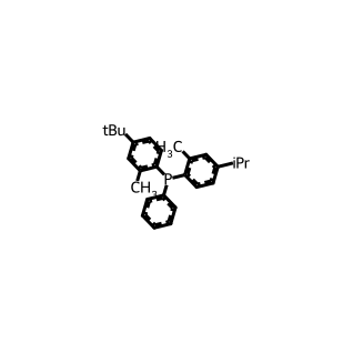 Cc1cc(C(C)C)ccc1P(c1ccccc1)c1ccc(C(C)(C)C)cc1C